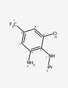 CC(C)Nc1c(N)cc(C(F)(F)F)cc1Cl